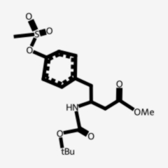 COC(=O)CC(Cc1ccc(OS(C)(=O)=O)cc1)NC(=O)OC(C)(C)C